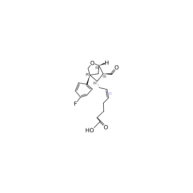 O=C[C@@H]1[C@@H]2C[C@@](c3ccc(F)cc3)(CO2)[C@H]1C/C=C\CCCC(=O)O